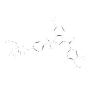 COc1ccc2c(C(=O)c3cc(C)c(OC)c(OC)c3)cn(S(=O)(=O)c3ccc(CCC(N)(CO)CO)cc3)c2c1